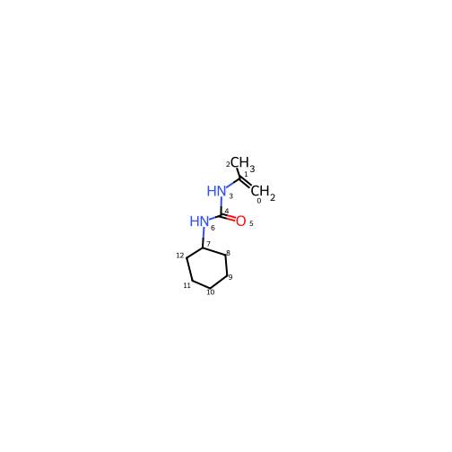 C=C(C)NC(=O)NC1CCCCC1